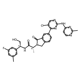 Cc1cc(F)cc([C@@H](CO)NC(=O)[C@@H](C)N2Cc3ccc(-c4nc(Nc5ccnc(C)n5)ncc4Cl)cc3C2=O)c1